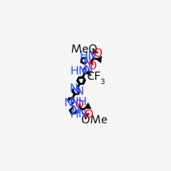 COC(=O)N[C@H](C(=O)N1CCC[C@H]1c1ncc(-c2cnc(-c3ccc(-c4[nH]c([C@@H]5CCCN5C(=O)[C@@H](NC(=O)OC)C5CC5)nc4C(F)(F)F)cc3)nc2)[nH]1)C1CC1